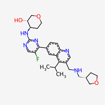 CC(C)c1c(CNC[C@@H]2CCOC2)cnc2ccc(-c3nc(N[C@@H]4CCOC[C@H]4O)ncc3F)cc12